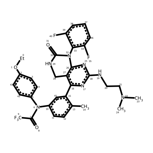 CCOc1ccc(N(C(=O)C(F)(F)F)c2ccc(C)c(-c3nc(NCCN(C)C)nc4c3CNC(=O)N4c3c(F)cccc3F)c2)cc1